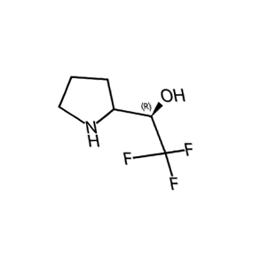 O[C@H](C1CCCN1)C(F)(F)F